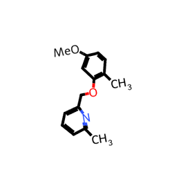 COc1ccc(C)c(OCc2cccc(C)n2)c1